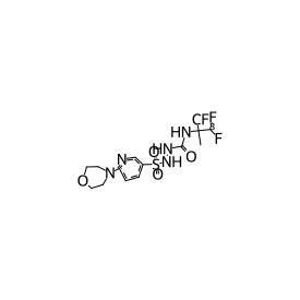 CC(NC(=O)NNS(=O)(=O)c1ccc(N2CCOCC2)nc1)(C(F)F)C(F)(F)F